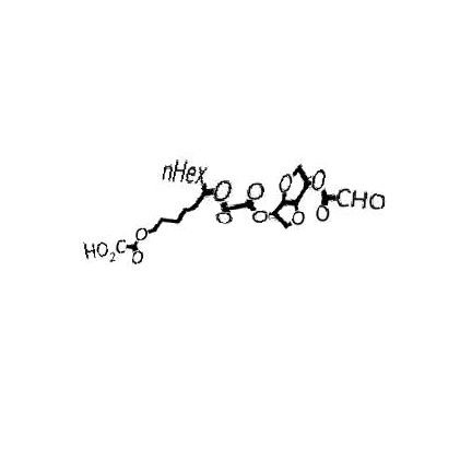 CCCCCCC(CCCCCOC(=O)C(=O)O)OC(=O)C(=O)O[C@H]1COC2C1OC[C@@H]2OC(=O)C=O